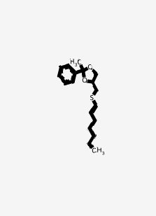 CCCCCC=CSCC1COC(C)(c2ccccc2)O1